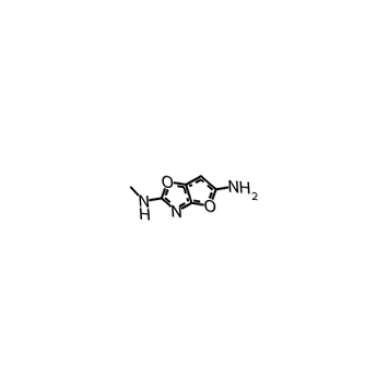 CNc1nc2oc(N)cc2o1